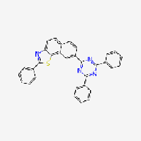 c1ccc(-c2nc(-c3ccccc3)nc(-c3ccc4ccc5nc(-c6ccccc6)sc5c4c3)n2)cc1